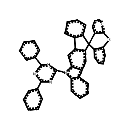 c1ccc(-c2nc(-c3ccccc3)nc(-n3c4ccccc4c4cc5c(cc43)-c3ccccc3C53c4ccccc4Sc4ccccc43)n2)cc1